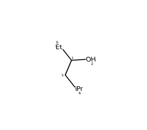 CCC(O)CC(C)C